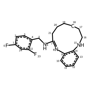 Fc1ccc(CN/C2=N/c3ccccc3NCCCCCC2)c(F)c1